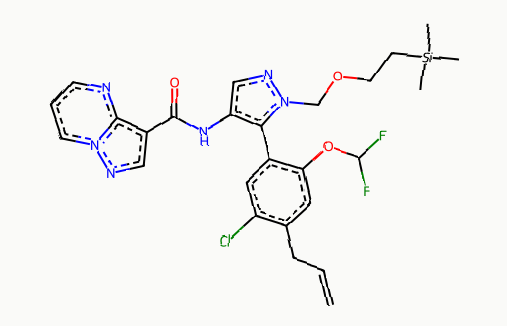 C=CCc1cc(OC(F)F)c(-c2c(NC(=O)c3cnn4cccnc34)cnn2COCC[Si](C)(C)C)cc1Cl